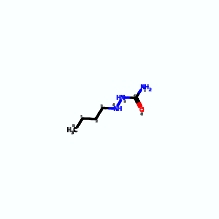 CCCCNNC(N)=O